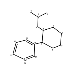 CN(C)CC1CCCCC1c1cccnc1